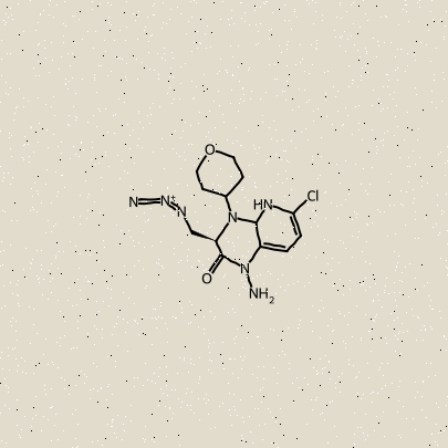 [N-]=[N+]=NC[C@@H]1C(=O)N(N)C2=CC=C(Cl)NC2N1C1CCOCC1